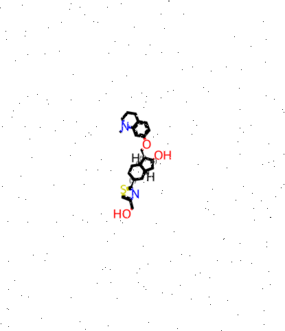 CN1CCCc2ccc(OC[C@@H]3[C@H]4CC[C@H](c5nc(CO)cs5)C[C@H]4C[C@@H]3O)cc21